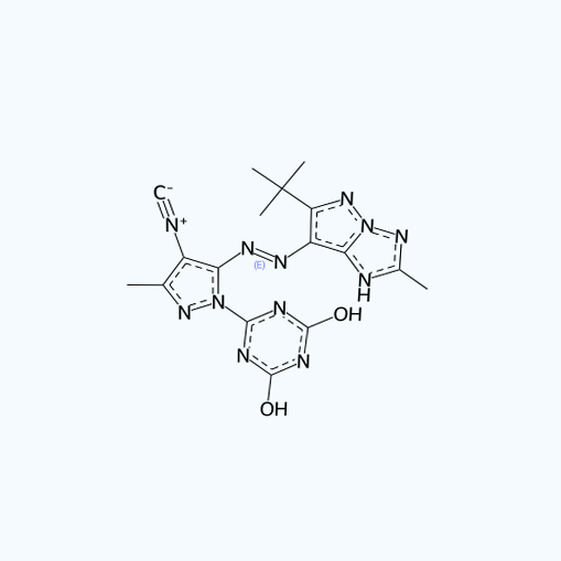 [C-]#[N+]c1c(C)nn(-c2nc(O)nc(O)n2)c1/N=N/c1c(C(C)(C)C)nn2nc(C)[nH]c12